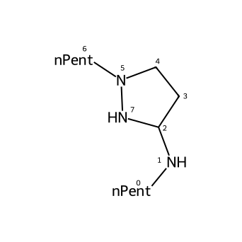 CCCCCNC1CCN(CCCCC)N1